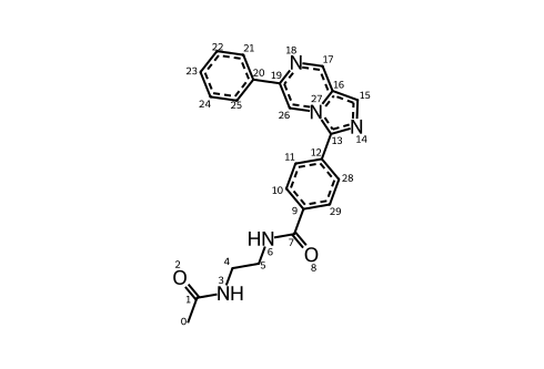 CC(=O)NCCNC(=O)c1ccc(-c2ncc3cnc(-c4ccccc4)cn23)cc1